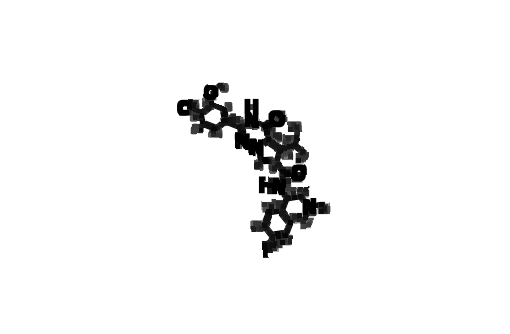 COc1cc(-c2nn3cc(C(=O)NC(CN(C)C)c4ccc(F)cc4)c(C(C)C)c3c(=O)[nH]2)ccc1Cl